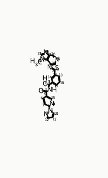 C[C@H](NC(=O)c1ccc(-n2cccn2)nc1)c1cccc(-c2nc3c(ncc4ncn(C)c43)s2)c1